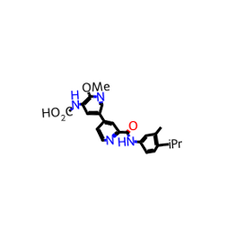 COc1ncc(-c2ccnc(C(=O)Nc3ccc(C(C)C)c(C)c3)c2)cc1NC(=O)O